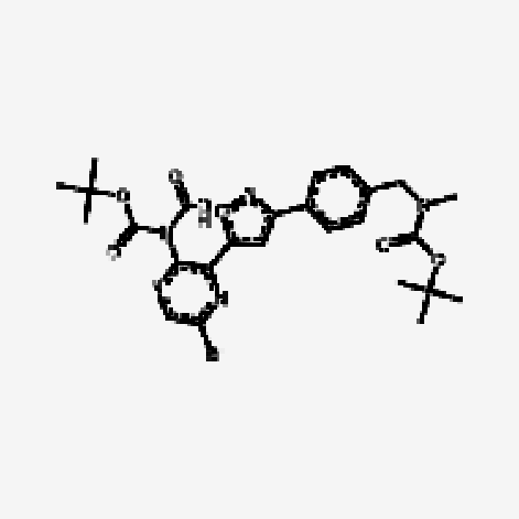 CN(Cc1ccc(-c2cc(-c3nc(Br)cnc3N(C(=O)O)C(=O)OC(C)(C)C)on2)cc1)C(=O)OC(C)(C)C